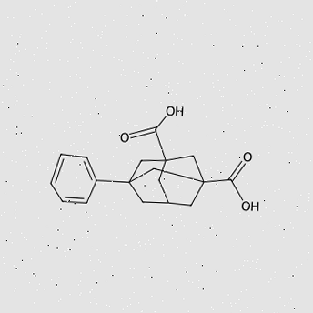 O=C(O)C12CC3CC(C(=O)O)(C1)CC(c1ccccc1)(C3)C2